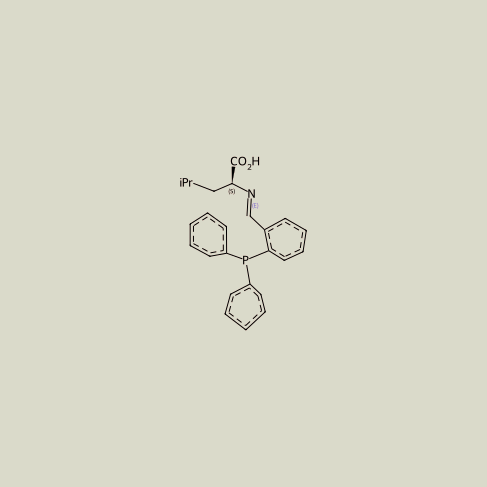 CC(C)C[C@H](/N=C/c1ccccc1P(c1ccccc1)c1ccccc1)C(=O)O